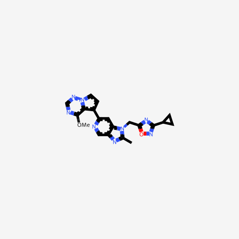 COc1ncnn2ccc(-c3cc4c(cn3)nc(C)n4Cc3nc(C4CC4)no3)c12